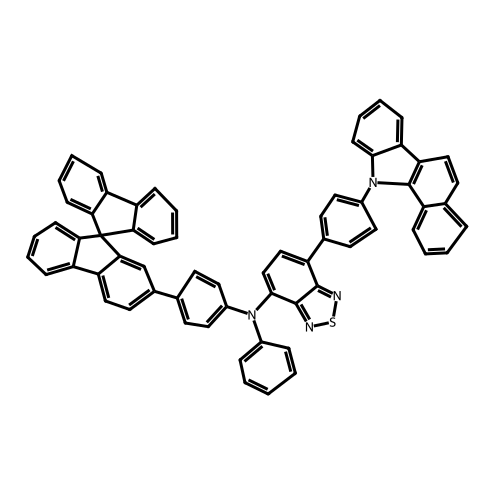 c1ccc(N(c2ccc(-c3ccc4c(c3)C3(c5ccccc5-c5ccccc53)c3ccccc3-4)cc2)c2ccc(-c3ccc(-n4c5ccccc5c5ccc6ccccc6c54)cc3)c3nsnc23)cc1